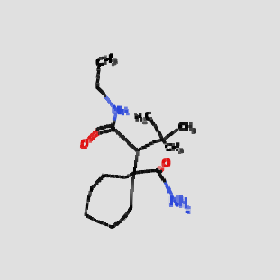 CCNC(=O)C(C(C)(C)C)C1(C(N)=O)CCCCC1